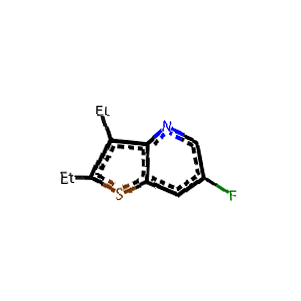 CCc1sc2cc(F)cnc2c1CC